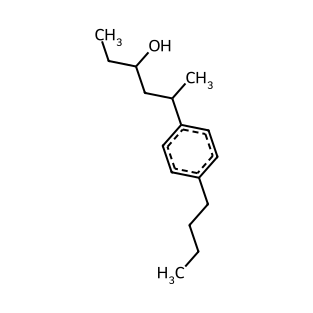 CCCCc1ccc(C(C)CC(O)CC)cc1